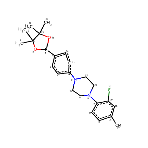 CC1(C)OB(c2ccc(N3CCN(c4ccc(C#N)cc4F)CC3)cc2)OC1(C)C